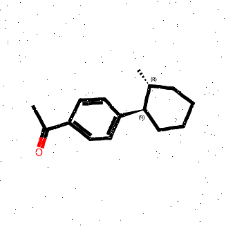 CC(=O)c1ccc([C@@H]2CCCC[C@H]2C)cc1